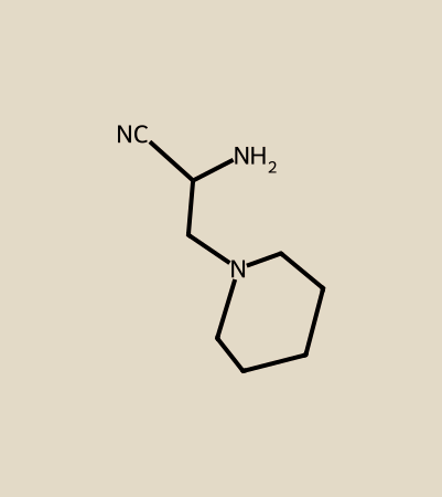 N#CC(N)CN1CCCCC1